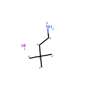 CC(C)(C)CCN.I